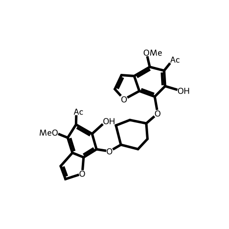 COc1c(C(C)=O)c(O)c(OC2CCC(Oc3c(O)c(C(C)=O)c(OC)c4ccoc34)CC2)c2occc12